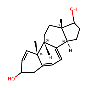 C[C@]12C=CC(O)CC1=CC=C1[C@H]2CC[C@]2(C)C(O)CC[C@@H]12